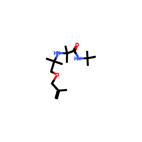 C=C(C)COCC(C)(C)NC(C)(C)C(=O)NC(C)(C)C